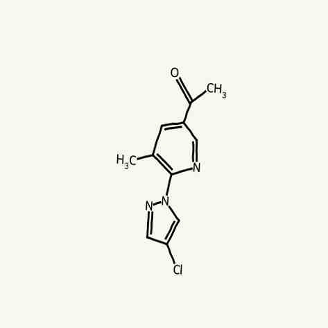 CC(=O)c1cnc(-n2cc(Cl)cn2)c(C)c1